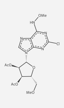 COC[C@H]1O[C@@H](n2cnc3c(NOC)nc(Cl)nc32)[C@H](OC(C)=O)[C@@H]1OC(C)=O